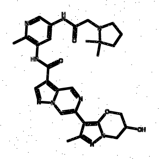 Cc1ncc(NC(=O)CN2CCCC2(C)C)cc1NC(=O)c1cnn2cc(-c3c(C)nn4c3OCC(O)C4)ncc12